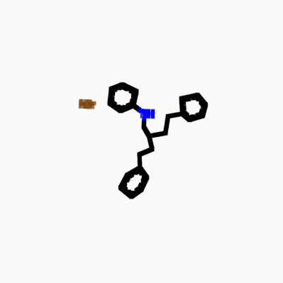 Br.c1ccc(CCC(CCc2ccccc2)CNc2ccccc2)cc1